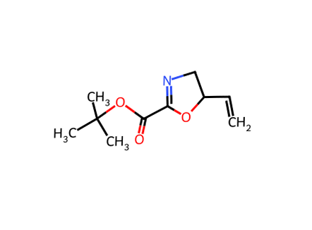 C=CC1CN=C(C(=O)OC(C)(C)C)O1